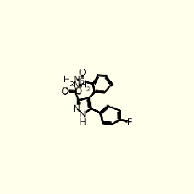 NC(=O)c1n[nH]c(-c2ccc(F)cc2)c1-c1ccccc1S(N)(=O)=O